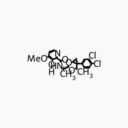 COc1ccnc(C(=O)N[C@@H](C)C(=O)OC(C)C2(c3ccc(Cl)c(Cl)c3)CC2)c1O